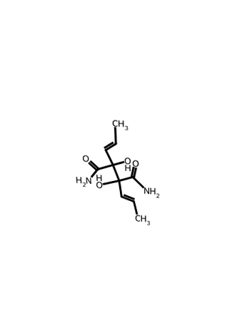 CC=CC(O)(C(N)=O)C(O)(C=CC)C(N)=O